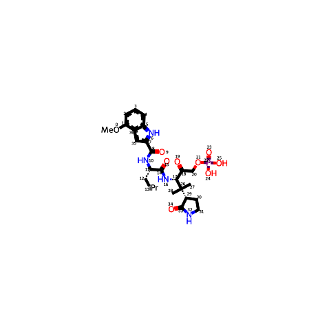 COc1cccc2[nH]c(C(=O)N[C@@H](CC(C)C)C(=O)N[C@H](C(=O)COP(=O)(O)O)C(C)(C)[C@@H]3CCNC3=O)cc12